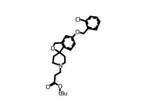 CC(C)(C)OC(=O)CCN1CCC2(CC1)OCc1cc(OCc3ccccc3Cl)ccc12